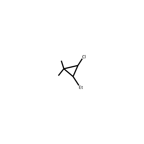 CCC1C(Cl)C1(C)C